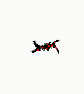 CCCCCCc1ccc2c(c1)c1cc(CCCCCC)ccc1n2CCN1C(=O)c2cc(Cl)c3c4c(Cl)cc5c6c(cc(Cl)c(c7c(Cl)cc(c2c37)C1=O)c64)C(=O)N(CCn1c2ccc(CCCCCC)cc2c2cc(CCCCCC)ccc21)C5=O